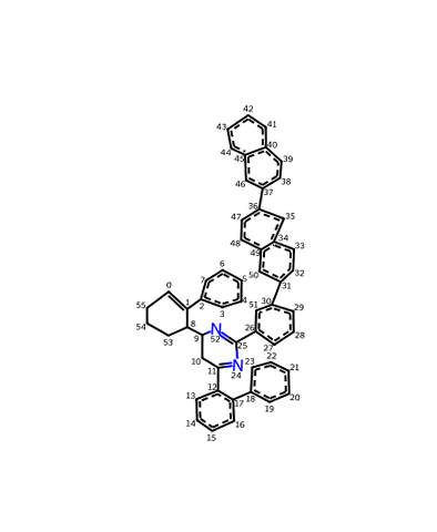 C1=C(c2ccccc2)C(C2CC(c3ccccc3-c3ccccc3)=NC(c3cccc(-c4ccc5cc(-c6ccc7ccccc7c6)ccc5c4)c3)=N2)CCC1